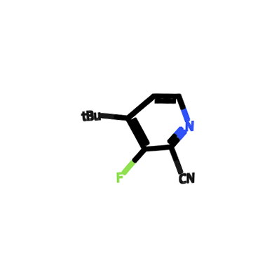 CC(C)(C)c1ccnc(C#N)c1F